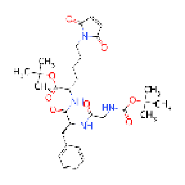 CC(C)(C)OC(=O)NCC(=O)N[C@@H](Cc1ccccc1)C(=O)N[C@@H](CCCCN1C(=O)C=CC1=O)C(=O)OC(C)(C)C